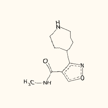 CNC(=O)c1conc1C1CCNCC1